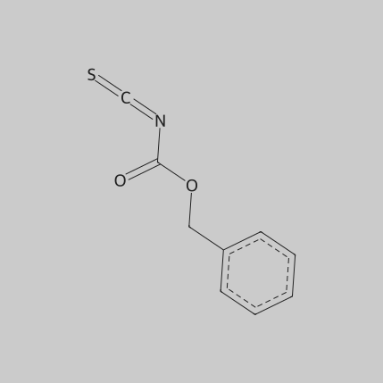 O=C(N=C=S)OCc1ccccc1